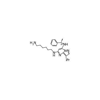 CC(C)c1cnn2c(N[C@H](C)c3ccccc3)cc(NCCCCCCN)nc12